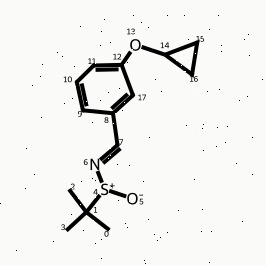 CC(C)(C)[S+]([O-])/N=C/c1cccc(OC2CC2)c1